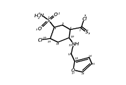 NS(=O)(=O)C1CC(C(=S)Cl)C(NCc2ccco2)CC1Cl